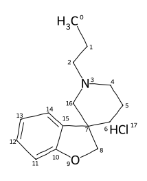 CCCN1CCCC2(COc3ccccc32)C1.Cl